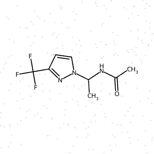 CC(=O)NC(C)n1c[c]c(C(F)(F)F)n1